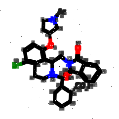 CC(=O)N1CC[C@H](Oc2ccc(Br)c3c2[C@@H](CN2C(=O)c4ccccc4C2=O)N(C(=O)C2CCCC[C@H]2C(=O)O)CC3)C1